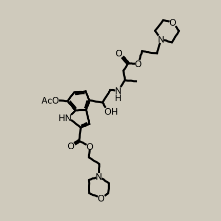 CC(=O)Oc1ccc(C(O)CNC(C)CC(=O)OCCN2CCOCC2)c2cc(C(=O)OCCN3CCOCC3)[nH]c12